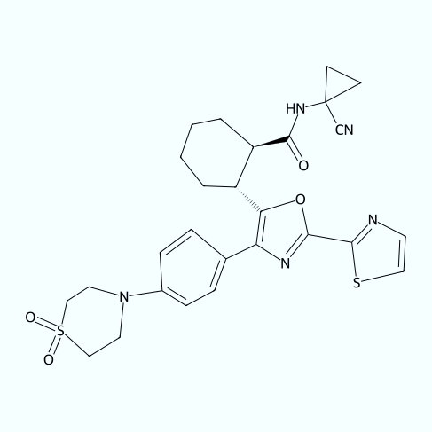 N#CC1(NC(=O)[C@@H]2CCCC[C@H]2c2oc(-c3nccs3)nc2-c2ccc(N3CCS(=O)(=O)CC3)cc2)CC1